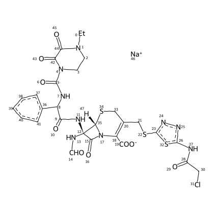 CCN1CCN(C(=O)NC(C(=O)N[C@]2(NC=O)C(=O)N3C(C(=O)[O-])=C(CSc4nnc(NC(=O)CCl)s4)CS[C@H]32)c2ccccc2)C(=O)C1=O.[Na+]